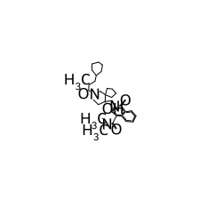 CC(CC1CCCCC1)C(=O)N1CCC(O)(Cn2cc(C(=O)N(C)C)c3ccccc3c2=O)C2(CCCC2)C1